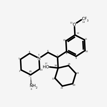 N[C@@H]1CCCN(CC(c2cccc(OC(F)(F)F)c2)C2(O)CCCCC2)C1